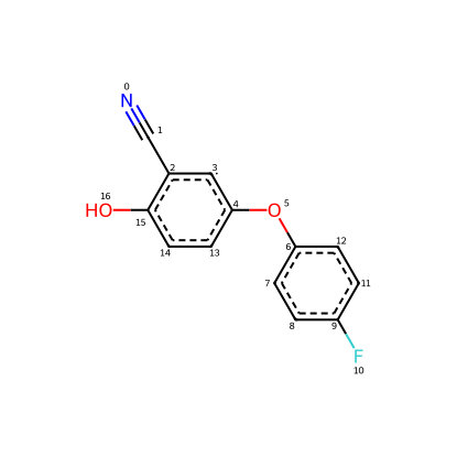 N#Cc1[c]c(Oc2ccc(F)cc2)ccc1O